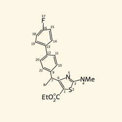 CCOC(=O)c1sc(NC)nc1C(C)c1ccc(-c2ccc(F)cc2)cc1